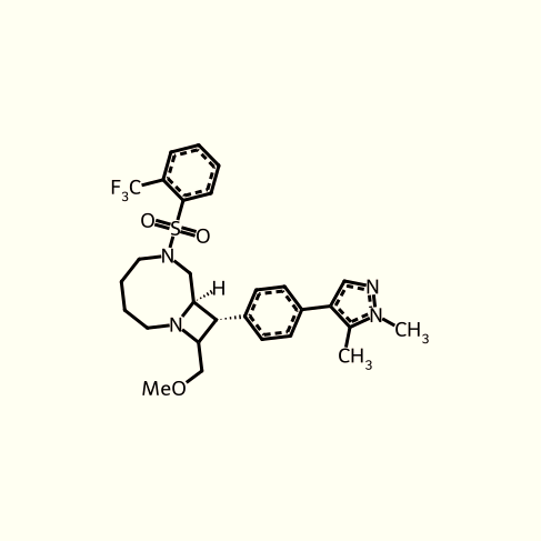 COCC1[C@@H](c2ccc(-c3cnn(C)c3C)cc2)[C@@H]2CN(S(=O)(=O)c3ccccc3C(F)(F)F)CCCCN12